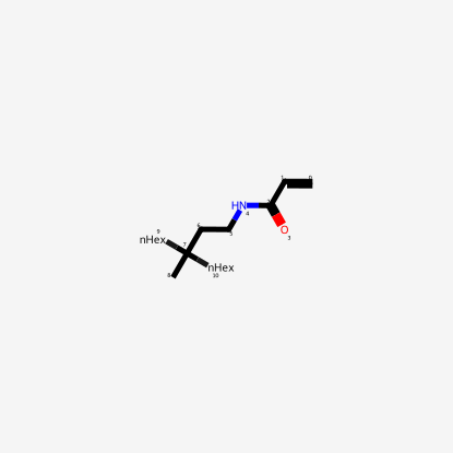 C=CC(=O)NCCC(C)(CCCCCC)CCCCCC